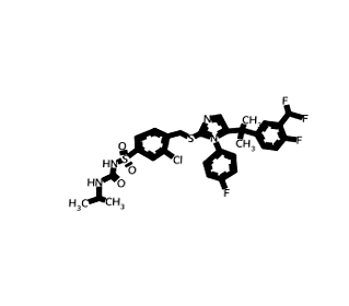 CC(C)NC(=O)NS(=O)(=O)c1ccc(CSc2ncc(C(C)(C)c3ccc(F)c(C(F)F)c3)n2-c2ccc(F)cc2)c(Cl)c1